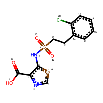 O=C(O)c1ncsc1NS(=O)(=O)CCc1ccccc1Cl